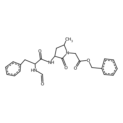 CC1CC(NC(=O)C(Cc2ccccc2)NC=O)C(=O)N1CC(=O)OCc1ccccc1